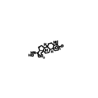 C[C@]12CCC(=O)N[C@@H]1CC[C@@H]1[C@@H]2CC[C@]2(C)[C@@H](C(=O)NO)CC[C@@H]12